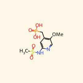 COc1cnc(NS(C)(=O)=O)cc1CP(=O)(O)O